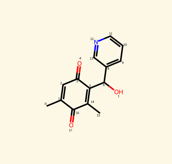 CC1=CC(=O)C(C(O)c2cccnc2)=C(C)C1=O